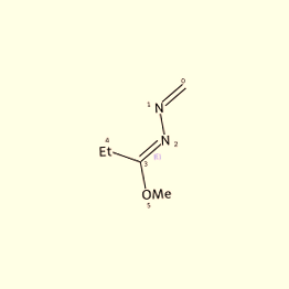 C=N/N=C(\CC)OC